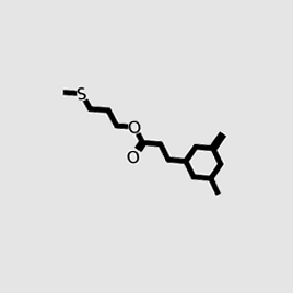 C=C1CC(C)CC(CCC(=O)OCCCSC)C1